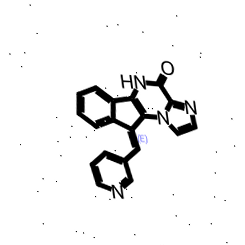 O=c1[nH]c2c3ccccc3/c(=C\c3cccnc3)c2n2ccnc12